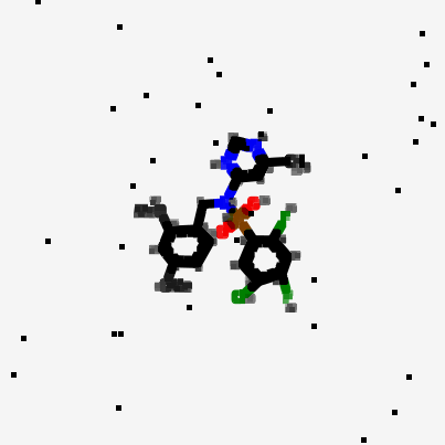 COc1ccc(CN(c2cc(C)ncn2)S(=O)(=O)c2cc(Cl)c(F)cc2F)c(OC)c1